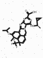 CC(C)OC1=CC2(C)C3=C(C1C)C(C)(C(F)(F)F)C=CC3(C)Cn1c2nc2nc(C(=O)O)nc(N[C@H](C)C3CC3)c21